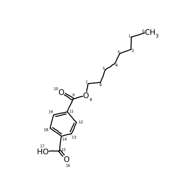 CCCCCCCCOC(=O)c1ccc(C(=O)O)cc1